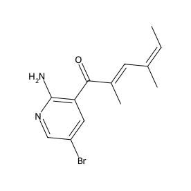 C/C=C(C)\C=C(/C)C(=O)c1cc(Br)cnc1N